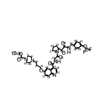 CC(C)(C)OC(=O)N1CCN(CCCOc2ccc3nccc(C(=O)NCC(=O)N4CCC[C@H]4C(=O)C(=O)NCc4ccc(OC(F)F)cc4)c3c2)CC1